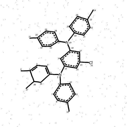 CC1=CC=C(N(c2ccc(C)cc2)c2cc(Cl)cc(N(c3ccc(C)cc3)c3ccc(C)cc3)c2)CC1C